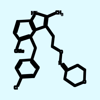 COc1ccc2[nH]c(C)c(CCON=C3CCOCC3)c2c1Cc1ccc(Cl)cc1